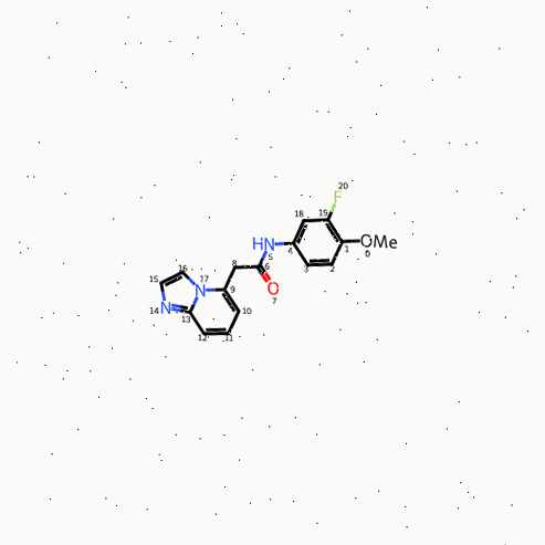 COc1ccc(NC(=O)Cc2cccc3nccn23)cc1F